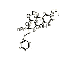 CCCC1(CCc2ccccc2)CC(O)=C(C(CC)c2cccc(C(F)(F)F)c2)C(=O)O1